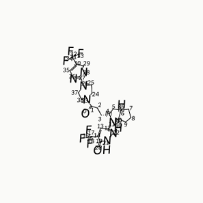 O=C(CC[C@@H]1C[C@@H]2CCC[C@@H]2N1c1cc(C(F)(F)F)c(=O)[nH]n1)N1CCN(c2ncc(C(F)(F)F)cn2)CC1